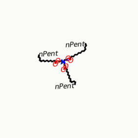 CCCCC/C=C\C/C=C\CCCCCCCC(=O)OCC[N+](C)(CCOC(=O)CCCCCCC/C=C\C/C=C\CCCCC)CCOC(=O)CCCCCCC/C=C\C/C=C\CCCCC